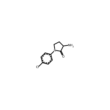 NC1CCN(c2ccc(Cl)cc2)C1=O